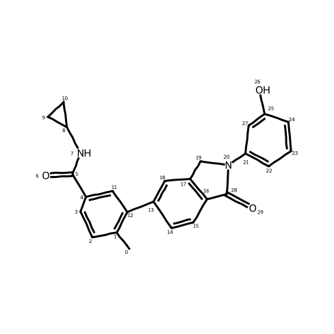 Cc1ccc(C(=O)NC2CC2)cc1-c1ccc2c(c1)CN(c1cccc(O)c1)C2=O